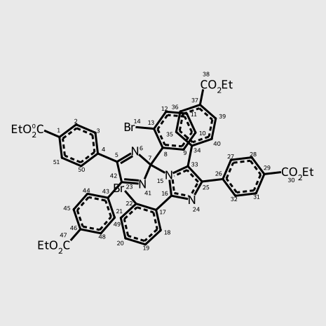 CCOC(=O)c1ccc(C2=NC(c3ccccc3Br)(n3c(-c4ccccc4Br)nc(-c4ccc(C(=O)OCC)cc4)c3-c3ccc(C(=O)OCC)cc3)N=C2c2ccc(C(=O)OCC)cc2)cc1